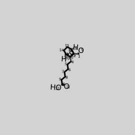 O=C[C@H]1[C@@H](CCCCCCC(=O)O)[C@H]2CC[C@@H]1S2